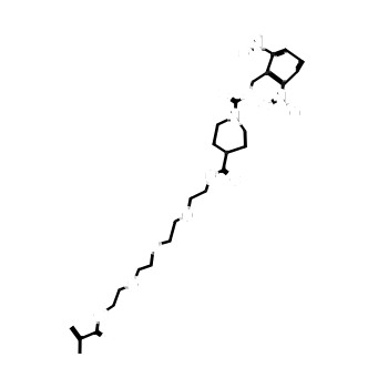 C=C(C)C(=O)OCCOCCOCCOCCOC(=O)C1CCN(C(=O)OCc2c([N+](=O)[O-])cccc2[N+](=O)[O-])CC1